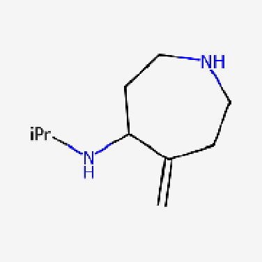 C=C1CCNCCC1NC(C)C